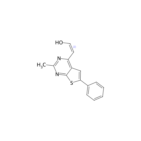 Cc1nc(/C=C\O)c2cc(-c3ccccc3)sc2n1